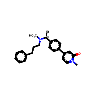 CC[C@@H](c1ccc(-c2ccn(C)c(=O)c2)cc1)N(CCCc1ccccc1)C(=O)O